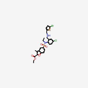 CCOC(=O)c1oc2ccc(S(=O)(=O)N(CC)c3ccc(Cl)cc3CNCc3ccc(Br)s3)cc2c1C